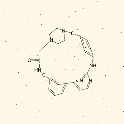 O=C1CN2CCN(CC2)Cc2ccc(cc2)Nc2nccc(n2)-c2cccc(c2)CN1